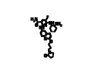 NC(=O)c1cc(F)c(N[C@@H]2CCCC[C@@H]2N)nc1Nc1ccc2nc(OCCCN3CCCC3=O)ccc2c1